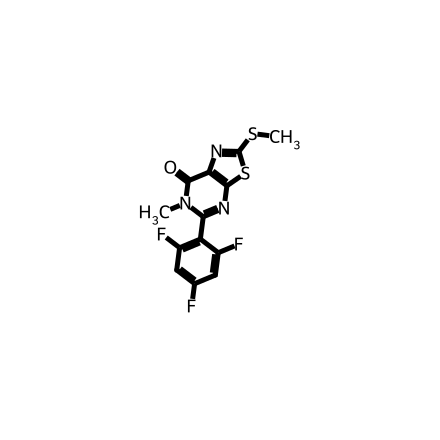 CSc1nc2c(=O)n(C)c(-c3c(F)cc(F)cc3F)nc2s1